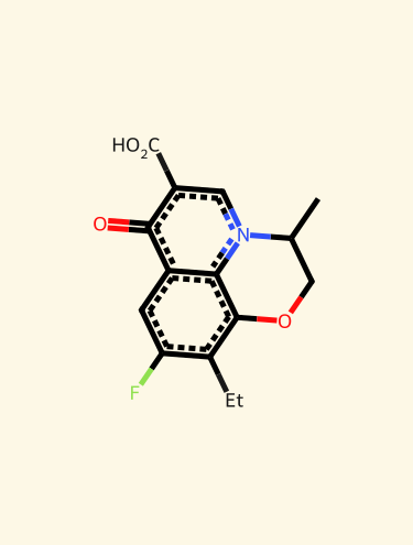 CCc1c(F)cc2c(=O)c(C(=O)O)cn3c2c1OCC3C